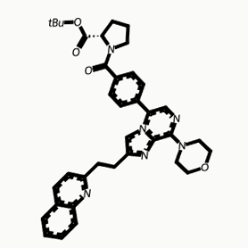 CC(C)(C)OC(=O)[C@@H]1CCCN1C(=O)c1ccc(-c2cnc(N3CCOCC3)c3nc(CCc4ccc5ccccc5n4)cn23)cc1